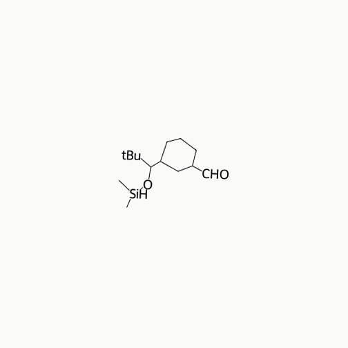 C[SiH](C)OC(C1CCCC(C=O)C1)C(C)(C)C